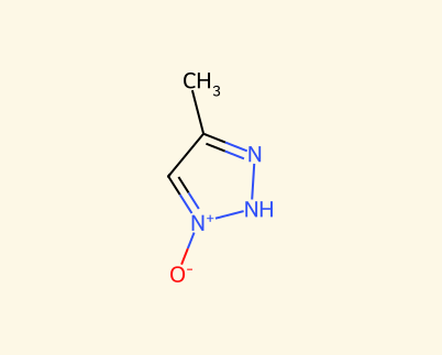 Cc1c[n+]([O-])[nH]n1